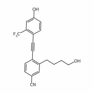 N#Cc1ccc(C#Cc2ccc(O)cc2C(F)(F)F)c(CCCCO)c1